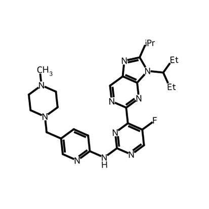 CCC(CC)n1c(C(C)C)nc2cnc(-c3nc(Nc4ccc(CN5CCN(C)CC5)cn4)ncc3F)nc21